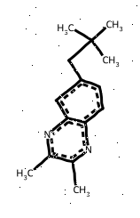 Cc1nc2ccc(CC(C)(C)C)cc2nc1C